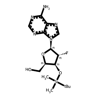 CC(C)(C)[Si](C)(C)O[C@@H]1[C@@H](F)[C@H](n2cnc3c(N)ncnc32)O[C@@H]1CO